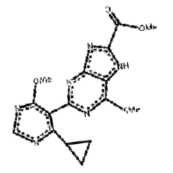 COC(=O)c1nc2nc(-c3c(OC)ncnc3C3CC3)nc(SC)c2[nH]1